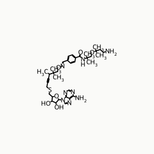 CC(C#CCSCC1OC(n2cnc3c(N)ncnc32)C(O)C1O)C(C)(C)CO/N=C/c1ccc(C(=O)NC(C)(C)COC(C)(C)CCN)cc1